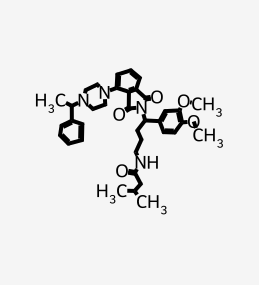 COc1ccc(C(CCCNC(=O)CC(C)C)N2C(=O)c3cccc(N4CCN(C(C)c5ccccc5)CC4)c3C2=O)cc1OC